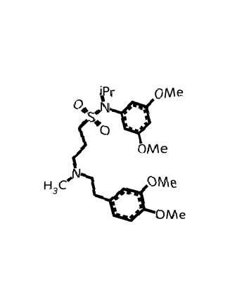 COc1cc(OC)cc(N(C(C)C)S(=O)(=O)CCCN(C)CCc2ccc(OC)c(OC)c2)c1